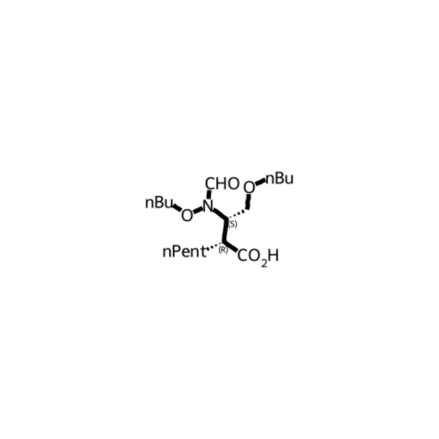 CCCCC[C@@H](C(=O)O)[C@@H](COCCCC)N(C=O)OCCCC